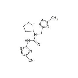 Cc1ccc(CN(C(=O)Nc2nc(C#N)cs2)C2CCCC2)o1